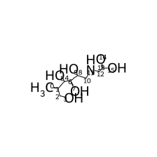 C[C@H](CO)[C@@H](O)[C@H](O)[C@@H](O)CNCC(=O)O